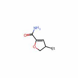 CCC1C=C(C(N)=O)OC1